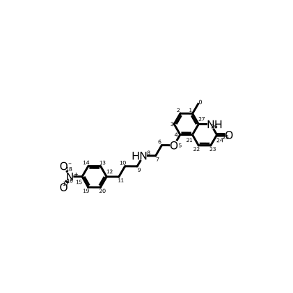 Cc1ccc(OCCNCCCc2ccc([N+](=O)[O-])cc2)c2ccc(=O)[nH]c12